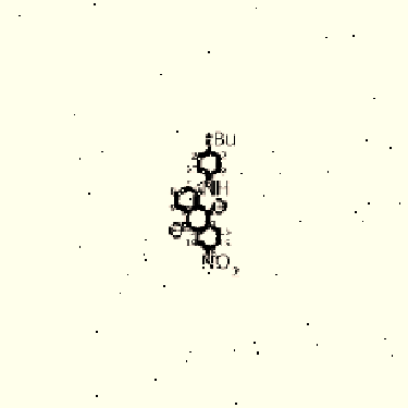 CC(C)(C)c1ccc(Nc2cccc3c2C(=O)c2ccc([N+](=O)[O-])cc2C3=O)cc1